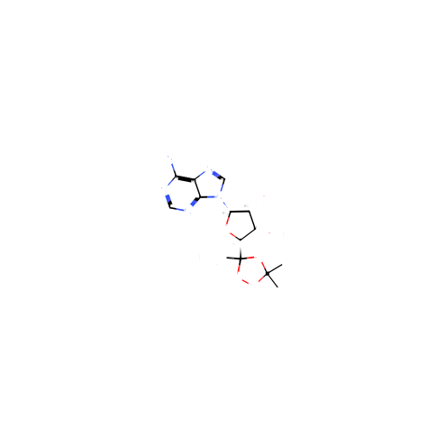 CC1(C)OOC(C(=O)O)([C@H]2O[C@@H](n3cnc4c(N)ncnc43)[C@H](O)[C@@H]2O)O1